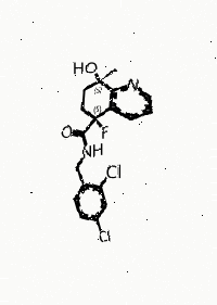 C[C@]1(O)CC[C@@](F)(C(=O)NCc2ccc(Cl)cc2Cl)c2cccnc21